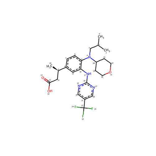 CC(C)CN(c1ccc([C@H](C)CC(=O)O)cc1Nc1ncc(C(F)(F)F)cn1)C1CCOCC1